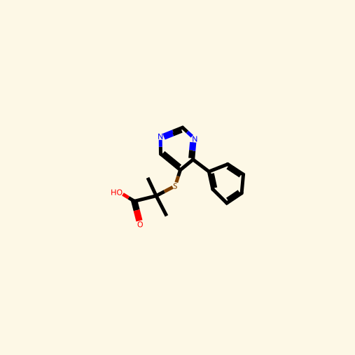 CC(C)(Sc1cncnc1-c1ccccc1)C(=O)O